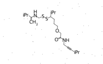 C=C(NCSSC(CCCOCC(=O)NCC#CC(C)C)C(C)C)C(C)C